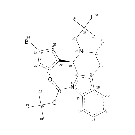 C[C@@H]1Cc2c(n(C(=O)OC(C)(C)C)c3ccccc23)[C@@H](c2ccc(Br)s2)N1CC(C)(C)F